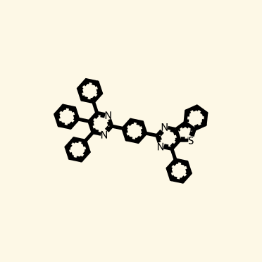 c1ccc(-c2nc(-c3ccc(-c4nc(-c5ccccc5)c5sc6ccccc6c5n4)cc3)nc(-c3ccccc3)c2-c2ccccc2)cc1